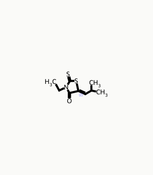 CCN1C(=O)/C(=C/C(C)C)SC1=S